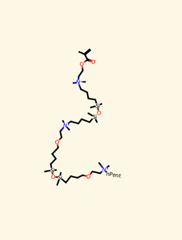 C=C(C)C(=O)OCC[N+](C)(C)CCCC[Si](C)(C)O[Si](C)(C)CCCC[N+](C)(C)CCOCCCC[Si](C)(C)O[Si](C)(C)CCCCOCC[N+](C)(C)CCCCC